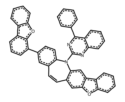 C1=Cc2cc3oc4ccccc4c3cc2N(c2nc(-c3ccccc3)c3ccccc3n2)c2ccc(-c3cccc4c3oc3ccccc34)cc21